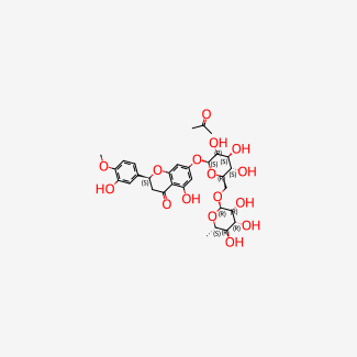 CC(C)=O.COc1ccc([C@@H]2CC(=O)c3c(O)cc(O[C@@H]4O[C@H](CO[C@@H]5O[C@@H](C)[C@H](O)[C@@H](O)[C@H]5O)[C@@H](O)[C@H](O)[C@H]4O)cc3O2)cc1O